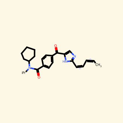 C/C=C\C=C/c1ncc(C(=O)c2ccc(C(=O)N(C(C)C)C3CCCCC3)cc2)[nH]1